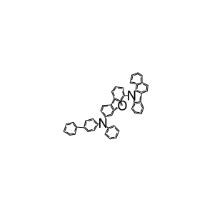 c1ccc(-c2ccc(N(c3ccccc3)c3ccc4c(c3)oc3c(-n5c6ccccc6c6ccc7ccccc7c65)cccc34)cc2)cc1